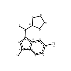 CC(c1cn(C)c2cnc(Cl)cc12)C1CCCC1